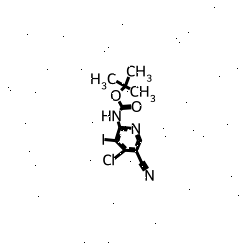 CC(C)(C)OC(=O)Nc1ncc(C#N)c(Cl)c1I